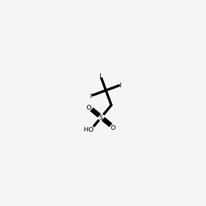 O=S(=O)(O)CC(I)(I)I